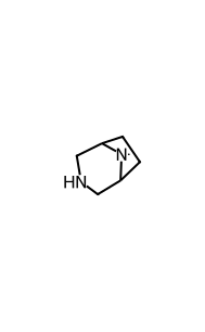 C1CC2CNCC1[N]2